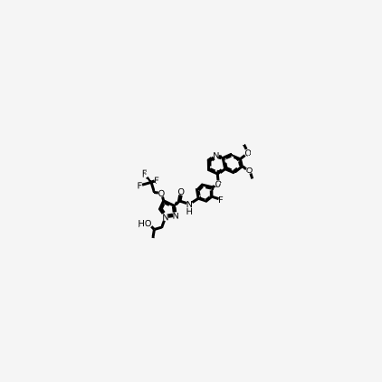 COc1cc2nccc(Oc3ccc(NC(=O)c4nn(CC(C)O)cc4OCC(F)(F)F)cc3F)c2cc1OC